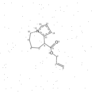 C=CCOC(=O)C1CCCCn2cccc21